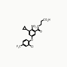 O=C(O)CCOC(=O)c1cc(Oc2ccc(C(F)(F)F)cc2Cl)cc(C2CC2)c1[N+](=O)[O-]